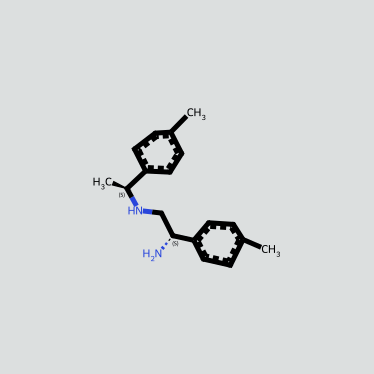 Cc1ccc([C@H](N)CN[C@@H](C)c2ccc(C)cc2)cc1